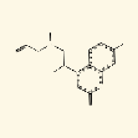 C=CCN(CC(CC)c1cc(=O)oc2cc(O)ccc12)C(=O)O